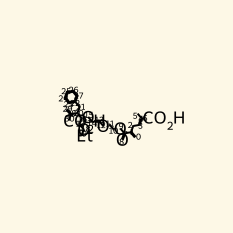 C=C(CC=C(C)C(=O)O)C(=O)OCCOCCOC(COCC)C(Cc1ccccc1)C(=C)C(=O)O